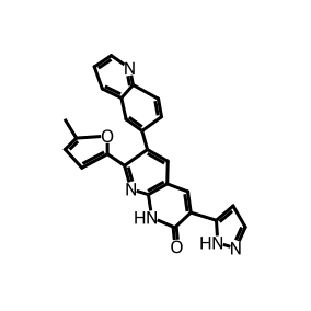 Cc1ccc(-c2nc3[nH]c(=O)c(-c4ccn[nH]4)cc3cc2-c2ccc3ncccc3c2)o1